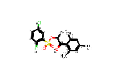 CCC(OS(=O)(=O)c1cc(Cl)ccc1Cl)C(=O)c1c(C)cc(C)cc1C